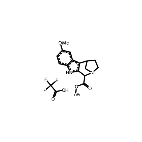 CCCOC(=O)C1c2[nH]c3ccc(OC)cc3c2C2CCN1C2.O=C(O)C(F)(F)F